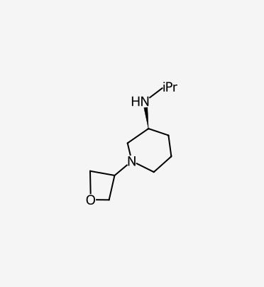 CC(C)N[C@H]1CCCN(C2COC2)C1